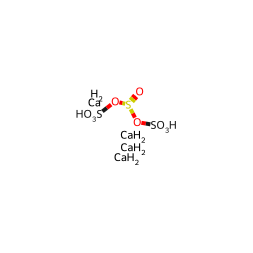 O=S(OS(=O)(=O)O)OS(=O)(=O)O.[CaH2].[CaH2].[CaH2].[CaH2]